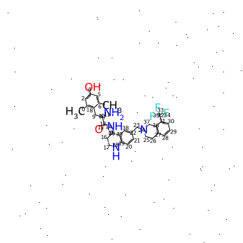 Cc1cc(O)cc(C)c1C[C@H](N)C(=O)N[C@@H]1CCNc2ccc(CN3CCc4cccc(C(F)(F)F)c4C3)cc21